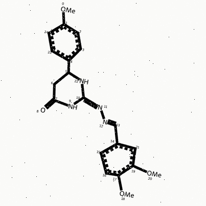 COc1ccc(C2CC(=O)NC(=NN=Cc3ccc(OC)c(OC)c3)N2)cc1